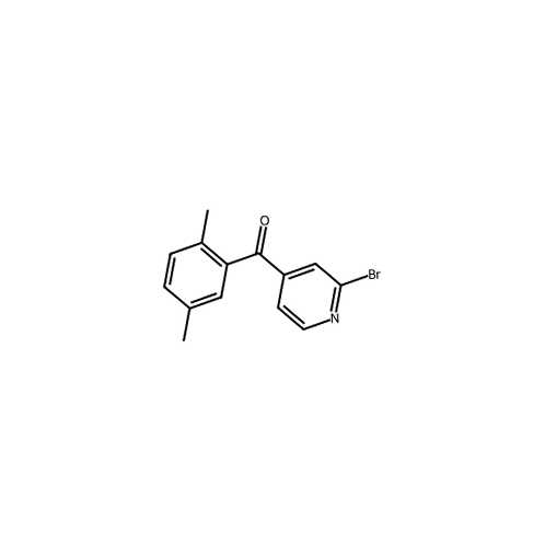 Cc1ccc(C)c(C(=O)c2ccnc(Br)c2)c1